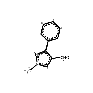 Cn1cc(C=O)c(-c2ccccc2)n1